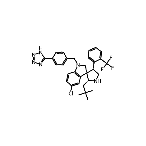 CC(C)(C)C[C@@H]1NC[C@H](c2ccccc2C(F)(F)F)[C@]12CN(Cc1ccc(-c3nnn[nH]3)cc1)c1ccc(Cl)cc12